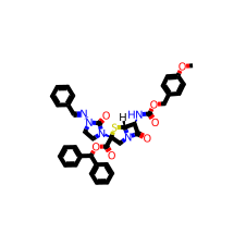 COc1ccc(COC(=O)N[C@@H]2C(=O)N3C[C@@](C(=O)OC(c4ccccc4)c4ccccc4)(N4CCN(/N=C/c5ccccc5)C4=O)S[C@H]23)cc1